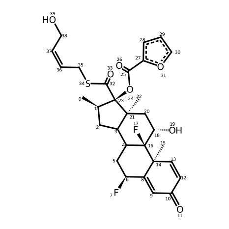 C[C@@H]1CC2C3C[C@H](F)C4=CC(=O)C=C[C@]4(C)[C@@]3(F)[C@@H](O)C[C@]2(C)[C@@]1(OC(=O)c1ccco1)C(=O)SC/C=C\CO